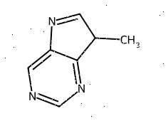 CC1C=Nc2cncnc21